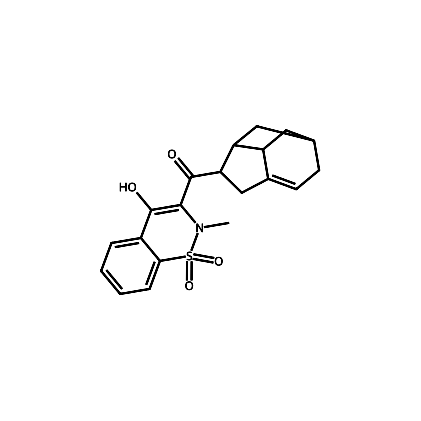 CN1C(C(=O)C2CC3=CCC4CC3C2C4)=C(O)c2ccccc2S1(=O)=O